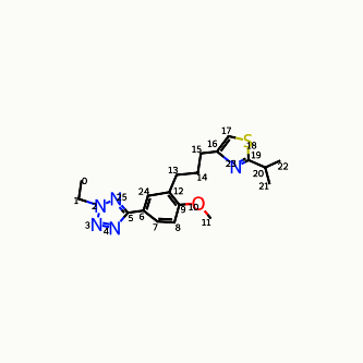 CCn1nnc(-c2ccc(OC)c(CCCc3csc(C(C)C)n3)c2)n1